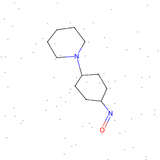 O=NC1CCC(N2CCCCC2)CC1